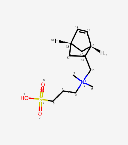 C[N+](C)(CCCS(=O)(=O)O)CC1C[C@@H]2C=C[C@H]1C2